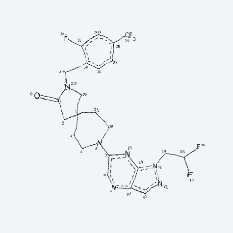 O=C1CC2(CCN(c3cnc4cnn(CC(F)F)c4n3)CC2)CN1Cc1ccc(C(F)(F)F)cc1F